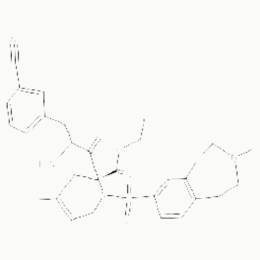 CCOC(=O)[C@]1(C(=O)C(N)Cc2cccc(C#N)c2)CC(C)=CCN1S(=O)(=O)c1ccc2c(c1)CCN(C)CC2